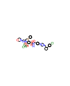 O=C(NS(=O)(=O)c1ccc(N[C@H](CCN2CCCOCC2)CSc2ccccc2)c(S(=O)(=O)C(F)(F)Cl)c1)c1ccc(N2CCN(CC3=C(c4ccc(Cl)cc4)CCCC3)CC2)cc1